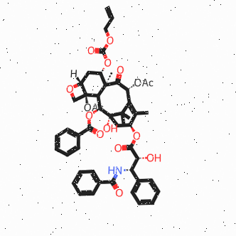 C=CCOC(=O)O[C@H]1C[C@H]2OC[C@@]2(OC(C)=O)C2[C@H](OC(=O)c3ccccc3)[C@]3(O)C[C@H](OC(=O)[C@H](O)[C@@H](NC(=O)c4ccccc4)c4ccccc4)C(C)=C([C@@H](OC(C)=O)C(=O)[C@@]21C)C3(C)C